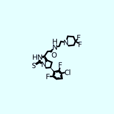 O=C(Cc1[nH]c(=S)n2c1C[C@@H](c1c(F)ccc(Cl)c1F)C2)NCCN1CCC(F)(F)CC1